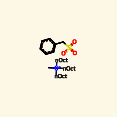 CCCCCCCC[N+](C)(CCCCCCCC)CCCCCCCC.O=S(=O)([O-])Cc1ccccc1